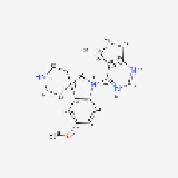 CCOc1ccc2c(c1)C1(CCNCC1)CN2c1ncnc2c1[C@H](C)CC2